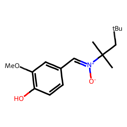 COc1cc(C=[N+]([O-])C(C)(C)CC(C)(C)C)ccc1O